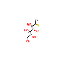 CC(C)C(=S)[C@H](O)[C@@H](O)[C@H](O)[C@H](O)CO